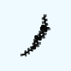 CCCCCCCOc1ccc(C(=O)Oc2ccc(C(=O)OC(C)C(=O)CCCCC)cc2)cc1